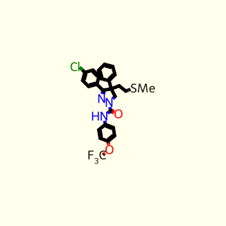 CSCCC1(c2ccccc2)CN(C(=O)Nc2ccc(OC(F)(F)F)cc2)N=C1c1ccc(Cl)cc1